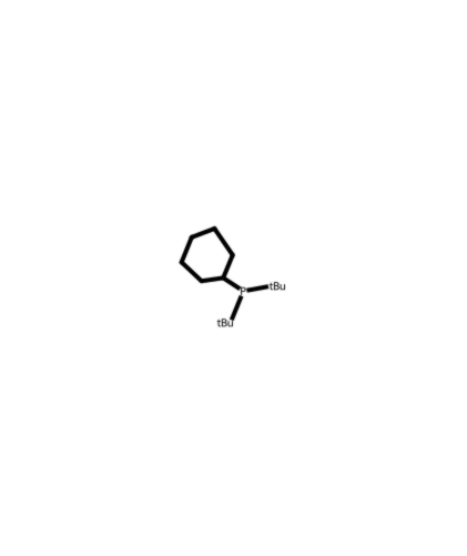 CC(C)(C)P(C1CCCCC1)C(C)(C)C